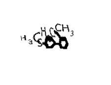 CSc1ccc(-c2ccccc2C(C)C)cc1